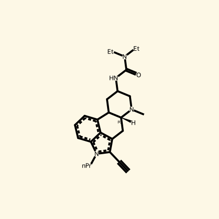 C#Cc1c2c3c(cccc3n1CCC)C1CC(NC(=O)N(CC)CC)CN(C)[C@@H]1C2